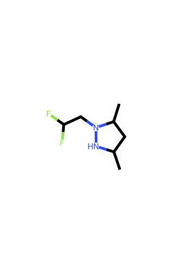 CC1CC(C)N(CC(F)F)N1